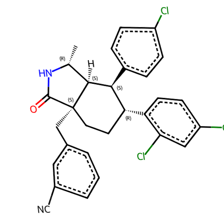 C[C@H]1NC(=O)[C@]2(Cc3cccc(C#N)c3)CC[C@@H](c3ccc(Cl)cc3Cl)[C@H](c3ccc(Cl)cc3)[C@H]12